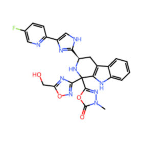 Cn1nc(C2(c3noc(CO)n3)N[C@@H](c3nc(-c4ccc(F)cn4)c[nH]3)Cc3c2[nH]c2ccccc32)oc1=O